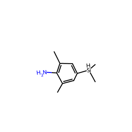 Cc1cc([SiH](C)C)cc(C)c1N